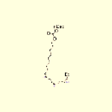 CC/C=C\C/C=C\C/C=C\CCCCCCCCOC(=O)OCCCCCCCCCC